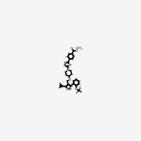 COC(=O)c1ccc(-c2nc(N3CCC(OCc4c(-c5ccccc5OC(F)(F)F)noc4C4CC4)CC3)no2)cc1